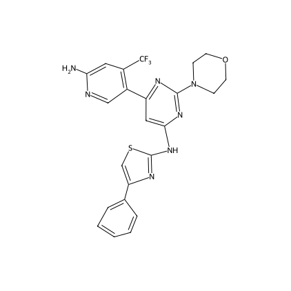 Nc1cc(C(F)(F)F)c(-c2cc(Nc3nc(-c4ccccc4)cs3)nc(N3CCOCC3)n2)cn1